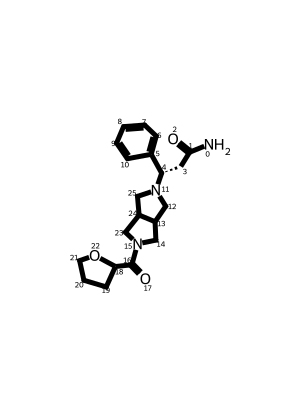 NC(=O)C[C@@H](c1ccccc1)N1CC2CN(C(=O)C3CCCO3)CC2C1